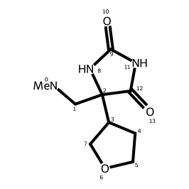 CNCC1(C2CCOC2)NC(=O)NC1=O